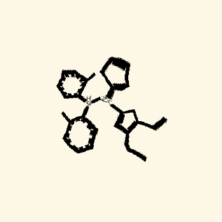 CCC1=C(CC)C[C]([Zr]([C]2=CC=CC2)[SiH](c2ccccc2C)c2ccccc2C)=C1